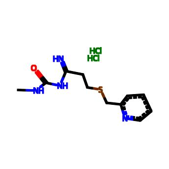 CNC(=O)NC(=N)CCSCc1ccccn1.Cl.Cl